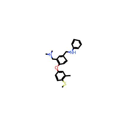 CSc1ccc(Oc2ccc(CNc3ccccc3)cc2CN(C)C)cc1C